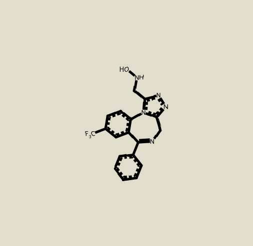 ONCc1nnc2n1-c1ccc(C(F)(F)F)cc1C(c1ccccc1)=NC2